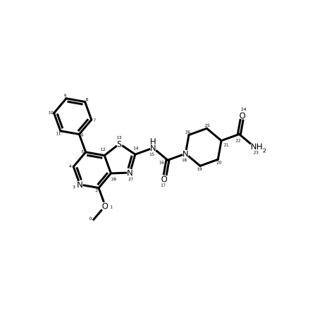 COc1ncc(-c2ccccc2)c2sc(NC(=O)N3CCC(C(N)=O)CC3)nc12